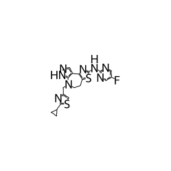 Fc1cnc(Nc2nc3c(s2)CCN(Cc2csc(C4CC4)n2)c2[nH]ncc2-3)nc1